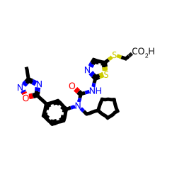 Cc1noc(-c2cccc(N(CC3CCCC3)C(=O)Nc3ncc(SCC(=O)O)s3)c2)n1